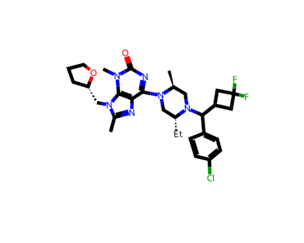 CC[C@@H]1CN(c2nc(=O)n(C)c3c2nc(C)n3C[C@@H]2CCCO2)[C@@H](C)CN1C(c1ccc(Cl)cc1)C1CC(F)(F)C1